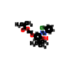 C=C(C)C(=O)OCCOc1cc(N=Nc2ccccc2Cl)c(O)c(C(C)(C)C)c1